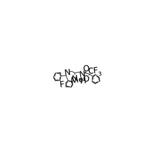 COC(C(=O)NCC1CN=C(c2ccccc2F)c2ccccc2N1C)(c1ccccc1)C(F)(F)F